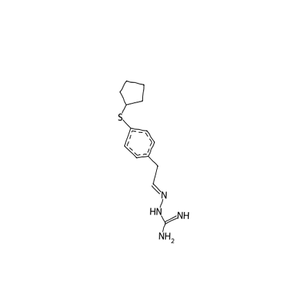 N=C(N)NN=CCc1ccc(SC2CCCC2)cc1